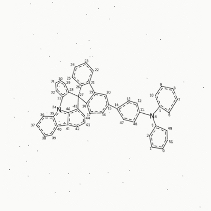 c1ccc(N(c2ccccc2)c2ccc(-c3ccc4c(c3)-c3ccccc3C43c4ccccc4-n4c5ccccc5c5cccc3c54)cc2)cc1